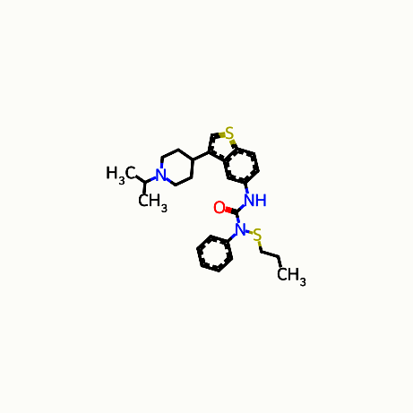 CCCSN(C(=O)Nc1ccc2scc(C3CCN(C(C)C)CC3)c2c1)c1ccccc1